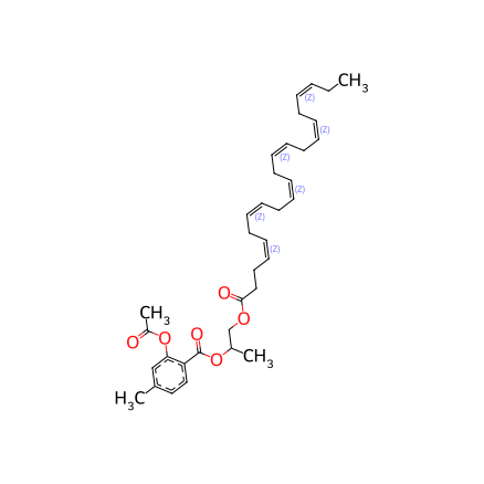 CC/C=C\C/C=C\C/C=C\C/C=C\C/C=C\C/C=C\CCC(=O)OCC(C)OC(=O)c1ccc(C)cc1OC(C)=O